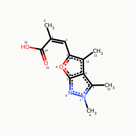 CC(=Cc1oc2nn(C)c(C)c2c1C)C(=O)O